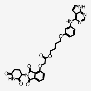 O=C1CCC(N2C(=O)c3cccc(OCC(=O)OCCCCOc4cccc(Nc5ncnc6[nH]ccc56)c4)c3C2=O)C(=O)N1